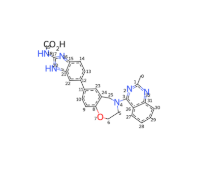 Cc1nc(N2CCOc3ccc(-c4ccc5nc(NC(=O)O)[nH]c5c4)cc3C2)c2ccccc2n1